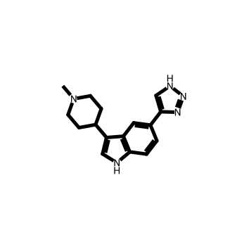 CN1CCC(c2c[nH]c3ccc(-c4c[nH]nn4)cc23)CC1